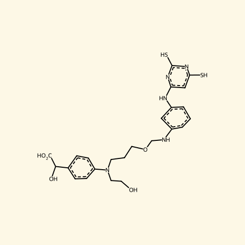 O=C(O)C(O)c1ccc(N(CCO)CCCOCNc2cccc(Nc3cc(S)nc(S)n3)c2)cc1